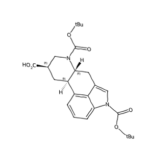 CC(C)(C)OC(=O)N1C[C@H](C(=O)O)C[C@@H]2c3cccc4c3c(cn4C(=O)OC(C)(C)C)C[C@H]21